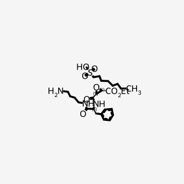 CCCCCCCCS(=O)(=O)O.CCOC(=O)[C@H]1O[C@@H]1C(=O)N[C@@H](Cc1ccccc1)C(=O)NCCCCN